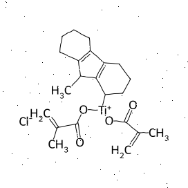 C=C(C)C(=O)[O][Ti+]([O]C(=O)C(=C)C)[CH]1CCCC2=C1C(C)C1=C2CCCC1.[Cl-]